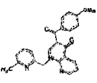 COc1ccc(C(=O)c2cn(Cc3cccc(C)n3)c3ncccc3c2=O)cc1